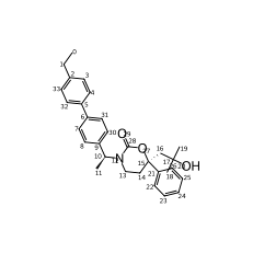 CCc1ccc(-c2ccc([C@H](C)N3CC[C@](CC(C)(C)O)(c4ccccc4)OC3=O)cc2)cc1